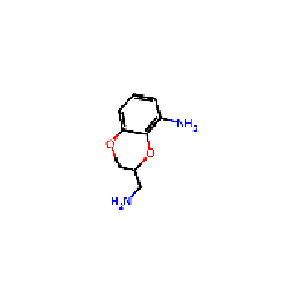 NCC1COc2cccc(N)c2O1